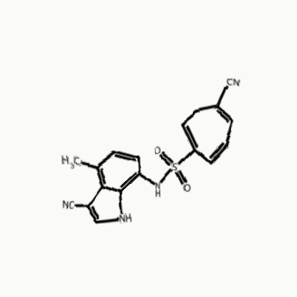 Cc1ccc(NS(=O)(=O)C2=CCC(C#N)=CC=C2)c2[nH]cc(C#N)c12